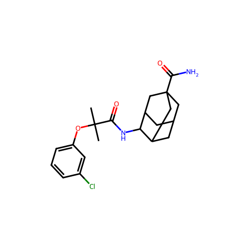 CC(C)(Oc1cccc(Cl)c1)C(=O)NC1C2CC3CC1CC(C(N)=O)(C3)C2